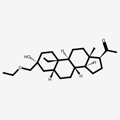 CCOC[C@@]1(O)CC[C@@]2(CC)[C@H](CC[C@H]3[C@@H]4CC[C@H](C(C)=O)[C@@]4(C)CC[C@@H]32)C1